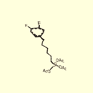 CC(=O)O[Si](CCCCCCc1ccc(F)c(F)c1)(OC(C)=O)OC(C)=O